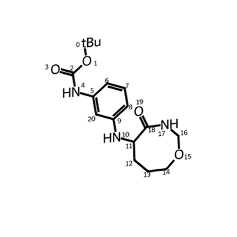 CC(C)(C)OC(=O)Nc1cccc(NC2CCCOCNC2=O)c1